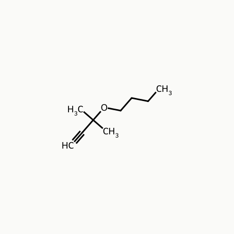 C#CC(C)(C)OCCCC